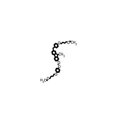 C=COCCCCOc1ccc(Cc2ccc3c(c2)C(C)c2cc(OCOc4ccc(OCCCCOC=C)cc4)ccc2-3)cc1